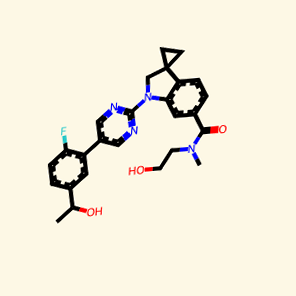 CC(O)c1ccc(F)c(-c2cnc(N3CC4(CC4)c4ccc(C(=O)N(C)CCO)cc43)nc2)c1